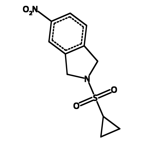 O=[N+]([O-])c1ccc2c(c1)CN(S(=O)(=O)C1CC1)C2